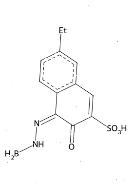 BN/N=C1\C(=O)C(S(=O)(=O)O)=Cc2cc(CC)ccc21